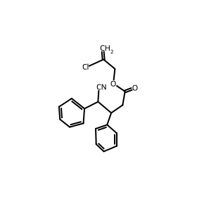 C=C(Cl)COC(=O)CC(c1ccccc1)C(C#N)c1ccccc1